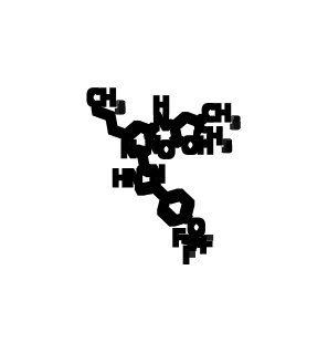 CCCCc1cc(NC(CC(C)C)C(=O)O)nc(-c2nc(-c3ccc(OC(F)(F)F)cc3)c[nH]2)n1